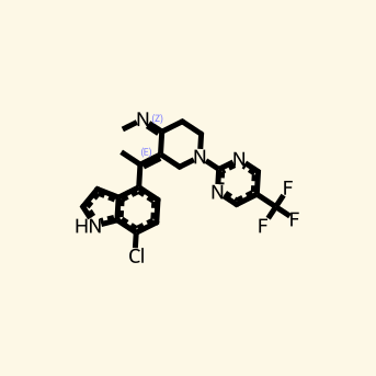 C/N=C1/CCN(c2ncc(C(F)(F)F)cn2)C/C1=C(/C)c1ccc(Cl)c2[nH]ccc12